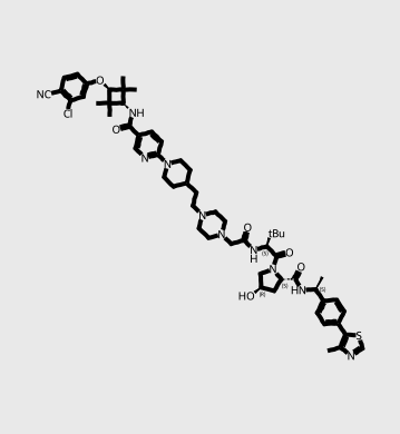 Cc1ncsc1-c1ccc([C@H](C)NC(=O)[C@@H]2C[C@@H](O)CN2C(=O)[C@@H](NC(=O)CN2CCN(CCC3CCN(c4ccc(C(=O)N[C@H]5C(C)(C)[C@H](Oc6ccc(C#N)c(Cl)c6)C5(C)C)cn4)CC3)CC2)C(C)(C)C)cc1